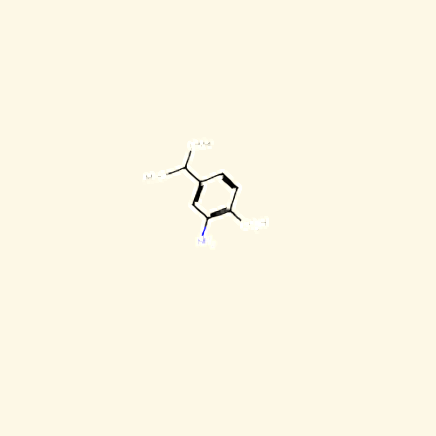 COC(OC)c1ccc(C(=O)O)c(N)c1